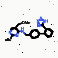 CCCCc1ncc(COC)c(NCc2ccc(-c3ccccc3-c3nnn[nH]3)cc2)n1